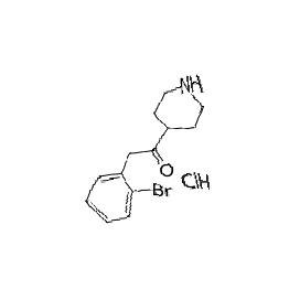 Cl.O=C(Cc1ccccc1Br)C1CCNCC1